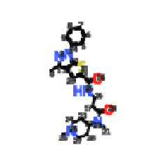 Cc1nn(-c2ccccc2)c2sc(C(=O)NCCC(=O)N(C)C3CCN(C)CC3)cc12